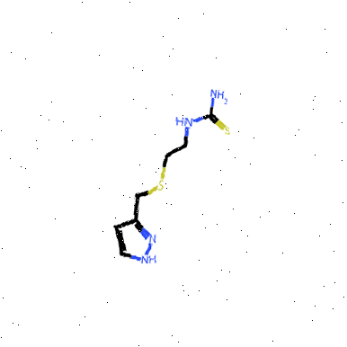 NC(=S)NCCSCc1cc[nH]n1